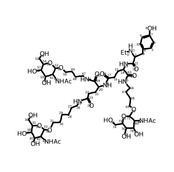 CCNC(Cc1ccc(O)cc1)C(=O)NC(CCC(=O)NC(CCC(=O)NCCCCCCOC1OC(CO)C(O)C(O)C1NC(C)=O)C(=O)NCCCCOC1OC(CO)C(O)C(O)C1NC(C)=O)C(=O)NCCCCOC1OC(CO)C(O)C(O)C1NC(C)=O